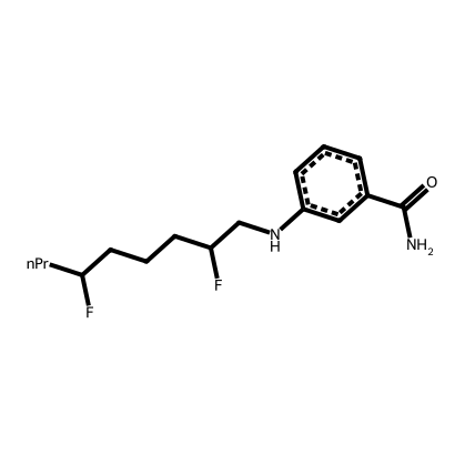 CCCC(F)CCCC(F)CNc1cccc(C(N)=O)c1